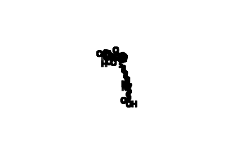 O=C(O)CCCc1cn(CCCCCSc2cccc3c2C(=O)N(C2CCC(=O)NC2=O)C3=O)nn1